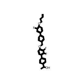 C=CCCOc1ccc(-c2ccc(COc3ccc(-c4ccc(C(C)O)cc4)c(F)c3F)cc2)cc1F